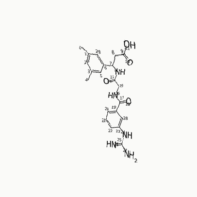 Cc1cc(C)cc(C(CC(=O)O)NC(=O)CNC(=O)c2cccc(NC(=N)N)c2)c1